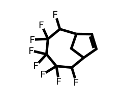 FC1C2C=CC(C2)C(F)C(F)(F)C(F)(F)C1(F)F